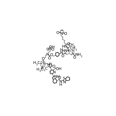 Cc1c(-c2ccc(-c3cc4cccc(C(=O)Nc5nc6ccccc6s5)c4[nH]3)nc2C(=O)O)cnn1CC12CC3(C)CC(C)(C1)CC(OCCN(CCS(=O)(=O)O)C(=O)OCc1ccc(NC(=O)[C@H](CCCNC(N)=O)NC(=O)[C@@H](NC(=O)CCCCCN4C(=O)C=CC4=O)C(C)C)cc1)(C3)C2